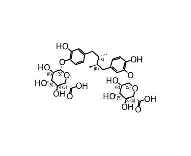 C[C@H](Cc1ccc(O)c(O[C@@H]2O[C@H](C(=O)O)[C@@H](O)[C@H](O)[C@H]2O)c1)[C@@H](C)Cc1ccc(O[C@@H]2O[C@H](C(=O)O)[C@@H](O)[C@H](O)[C@H]2O)c(O)c1